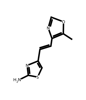 Cc1ocnc1C=Cc1csc(N)n1